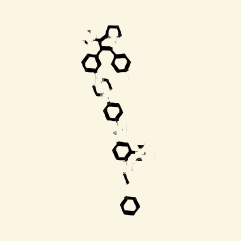 C[S+]([O-])c1c(-c2cccc(N3CCN(c4ccc(NSc5ccc(NCCSc6ccccc6)c(S(=O)(=O)C(F)(F)F)c5)cc4)CC3)c2)c(-c2ccc(Cl)cc2)n2c1CCC2